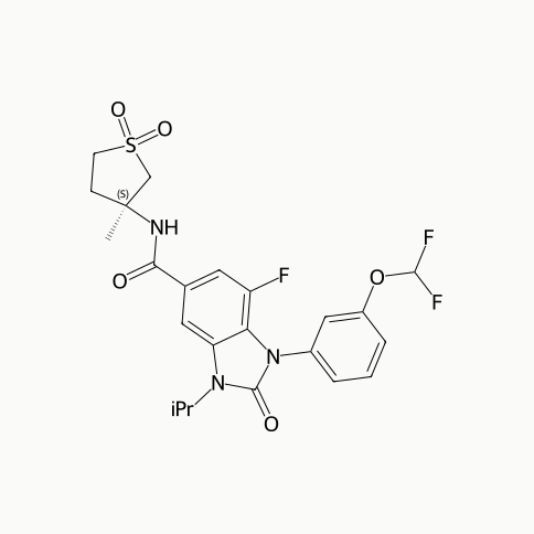 CC(C)n1c(=O)n(-c2cccc(OC(F)F)c2)c2c(F)cc(C(=O)N[C@@]3(C)CCS(=O)(=O)C3)cc21